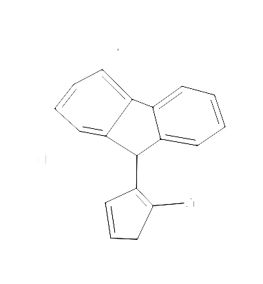 [Cl-].[Cl-].[Zr+2][C]1=C(C2c3ccccc3-c3ccccc32)C=CC1